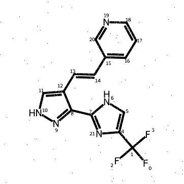 FC(F)(F)c1c[nH]c(-c2n[nH]cc2C=Cc2cccnc2)n1